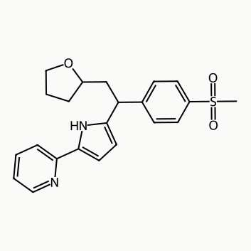 CS(=O)(=O)c1ccc(C(CC2CCCO2)c2ccc(-c3ccccn3)[nH]2)cc1